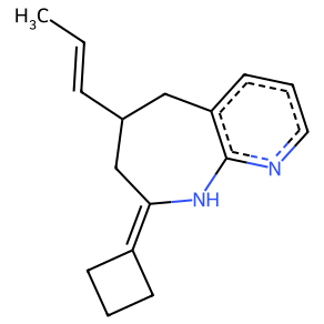 CC=CC1CC(=C2CCC2)Nc2ncccc2C1